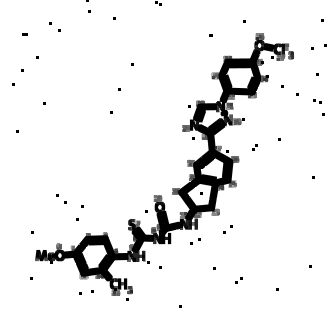 COc1ccc(NC(=S)NC(=O)NC2Cc3ccc(-c4ncn(-c5ccc(OC(F)(F)F)cc5)n4)cc3C2)c(C)c1